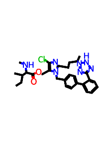 CCCCc1nc(Cl)c(COC(=O)C(NC)C(C)CC)n1Cc1ccc(-c2ccccc2-c2nn[nH]n2)cc1